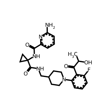 CC(O)C(=O)c1c(F)cccc1N1CCC(CNC(=O)C2(NC(=O)c3cccc(N)n3)CC2)CC1